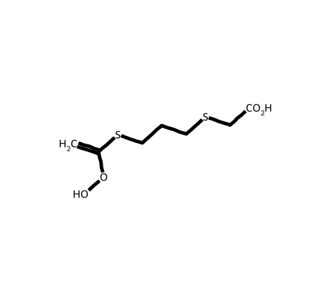 C=C(OO)SCCCSCC(=O)O